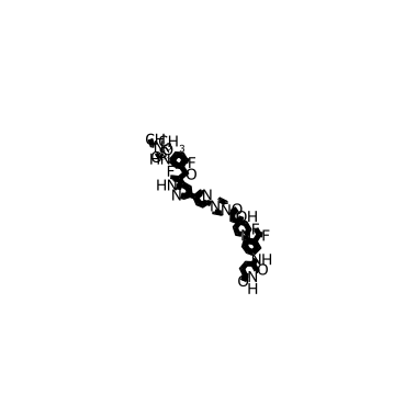 CCN(C)S(=O)(=O)Nc1ccc(F)c(C(=O)c2c[nH]c3ncc(-c4ccc(N5CCN(C(=O)CC6(O)CCN(c7ccc(NC8CCC(=O)NC8=O)cc7C(F)F)CC6)CC5)nc4)cc23)c1F